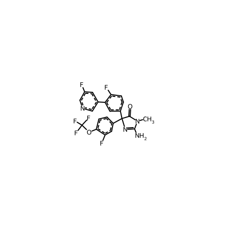 CN1C(=O)C(c2ccc(OC(F)(F)F)c(F)c2)(c2ccc(F)c(-c3cncc(F)c3)c2)N=C1N